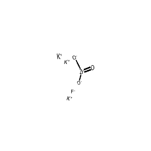 [F-].[K+].[K+].[K+].[O]=[Zr]([O-])[O-]